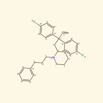 COC(CC1CCCCN1CCCc1ccccc1)(c1ccc(F)cc1)c1ccc(F)cc1